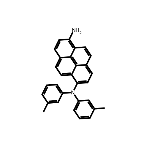 Cc1cccc(N(c2cccc(C)c2)c2ccc3ccc4c(N)ccc5ccc2c3c54)c1